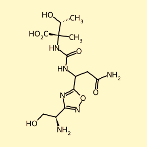 C[C@@H](O)[C@](C)(NC(=O)NC(CC(N)=O)c1nc([C@@H](N)CO)no1)C(=O)O